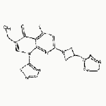 Cc1cc(N2CC(n3cncn3)C2)nc2c1c(=O)c(CO)cn2-c1ncns1